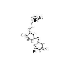 CCOC(=O)NCCOc1cc(Oc2cc(F)cc(F)c2)ccc1Cl